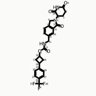 O=C1CCC(N2Cc3ccc(CNC(=O)OC4CC(c5ccc(C(F)(F)F)cc5)C4)cc3C2=O)C(=O)N1